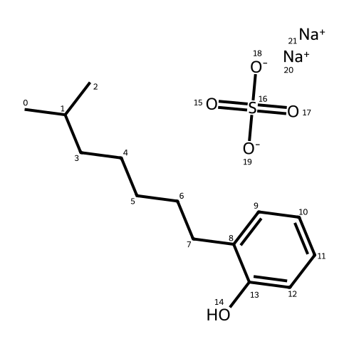 CC(C)CCCCCc1ccccc1O.O=S(=O)([O-])[O-].[Na+].[Na+]